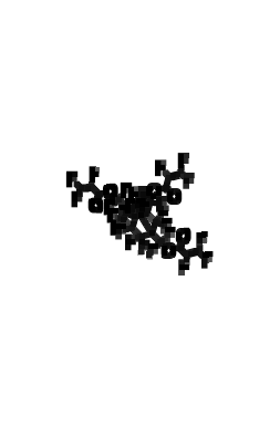 O=C(OC(F)(F)C12C(F)(F)C3(F)C(F)(F)C(C(F)(F)OC(=O)C(F)=C(F)F)(C1(F)F)C(F)(F)C(C(F)(F)OC(=O)C(F)=C(F)F)(C3(F)F)C2(F)F)C(F)=C(F)F